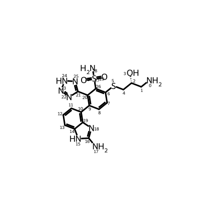 NC[C@@H](O)CSc1ccc(-c2cccc3[nH]c(N)nc23)c(-c2nn[nH]n2)c1S(N)(=O)=O